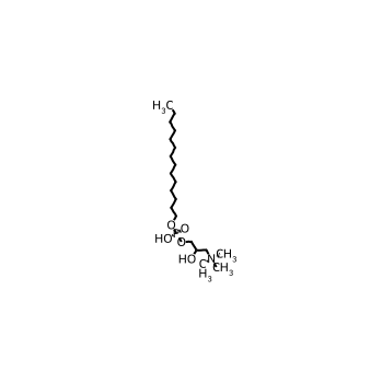 CCCCCCCCCCCCCCOP(=O)(O)OCC(O)C[N+](C)(C)C